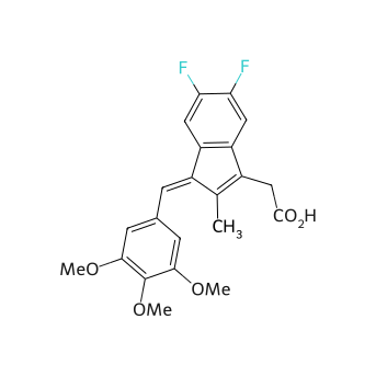 COc1cc(/C=C2\C(C)=C(CC(=O)O)c3cc(F)c(F)cc32)cc(OC)c1OC